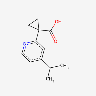 CC(C)c1ccnc(C2(C(=O)O)CC2)c1